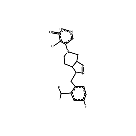 O=c1[nH]ncc(N2CCC3C(C2)N=NN3Cc2ccc(F)cc2C(F)F)c1Cl